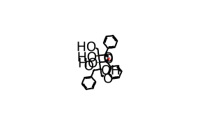 O=C[C@@](O)(C(=O)c1ccccc1)[C@](O)(C(=O)c1ccccc1)[C@](O)(CO)C(=O)c1ccccc1